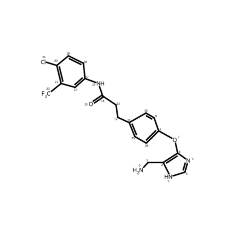 NCc1[nH]cnc1Oc1ccc(CCC(=O)Nc2ccc(Cl)c(C(F)(F)F)c2)cc1